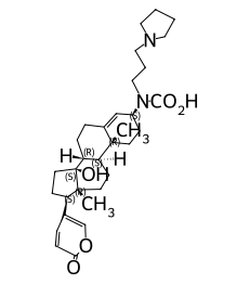 C[C@]12CC[C@H](N(CCCN3CCCC3)C(=O)O)C=C1CC[C@@H]1[C@@H]2CC[C@]2(C)[C@@H](c3ccc(=O)oc3)CC[C@]12O